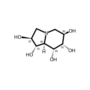 O[C@@H]1[C@H](O)[C@H]2[C@H](O)[C@@H](O)CN2C[C@H]1O